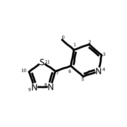 Cc1ccncc1-c1nncs1